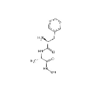 C[C@H](NC(=O)[C@@H](N)Cc1ccccc1)C(=O)NO